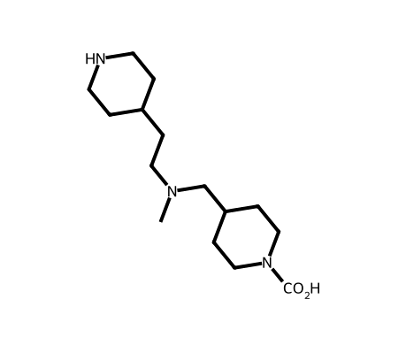 CN(CCC1CCNCC1)CC1CCN(C(=O)O)CC1